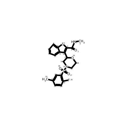 CNC(=O)c1sc2ccccc2c1C1CN(S(=O)(=O)c2cc(C)ccc2F)CCO1